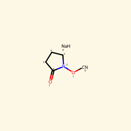 N#CON1CCCC1=O.[NaH]